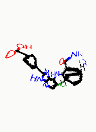 NC(=O)[C@@H]1[C@H](Nc2c(Cl)cnc3[nH]c(-c4ccc(C(=O)O)cc4)nc23)[C@H]2C=C[C@@H]1C2